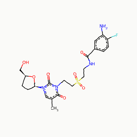 Cc1cn([C@H]2CC[C@@H](CO)O2)c(=O)n(CCS(=O)(=O)CCNC(=O)c2ccc(F)c(N)c2)c1=O